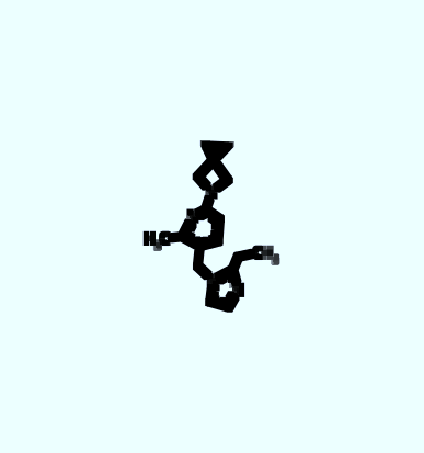 CCc1nccn1Cc1ccc(N2CC3(CC3)C2)nc1C